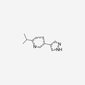 CC(C)c1ccc(-c2cn[nH]c2)cn1